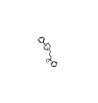 O=C(CCCN1CCN(c2ccccc2)CC1)c1ccccc1